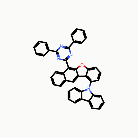 c1ccc(-c2nc(-c3ccccc3)nc(-c3c4ccccc4cc4c3oc3cccc(-n5c6ccccc6c6ccccc65)c34)n2)cc1